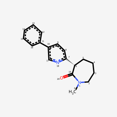 CN1CCCC[C@@H](c2ccc(-c3ccccc3)cn2)C1=O